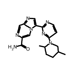 CC1CCC(C)N(c2ccnc(-c3cnc4cnc(C(N)=O)cn34)n2)C1